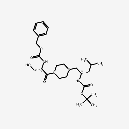 CC(C)C[C@@H](CN1CCN(C(=O)[C@H](CO)NC(=O)OCc2ccccc2)CC1)NC(=O)OC(C)(C)C